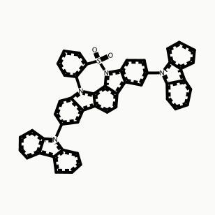 O=S1(=O)c2ccccc2-n2c3ccc(-n4c5ccccc5c5ccccc54)cc3c3ccc4c5cc(-n6c7ccccc7c7ccccc76)ccc5n1c4c32